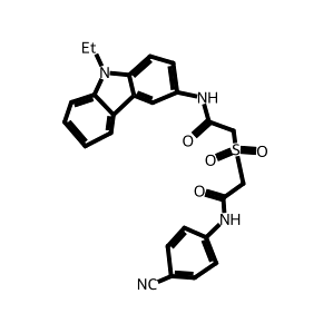 CCn1c2ccccc2c2cc(NC(=O)CS(=O)(=O)CC(=O)Nc3ccc(C#N)cc3)ccc21